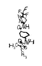 CC(C)S(=O)(=O)N[C@H]1CC[C@H](C(=O)Nc2nnc(C(F)(F)F)s2)CC1